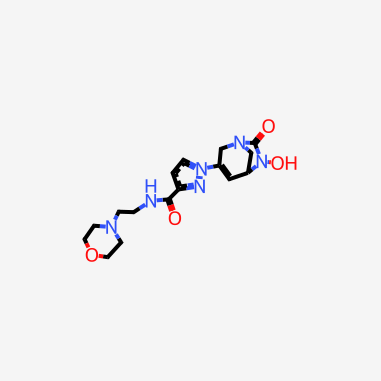 O=C(NCCN1CCOCC1)c1ccn(C2=CC3CN(C2)C(=O)N3O)n1